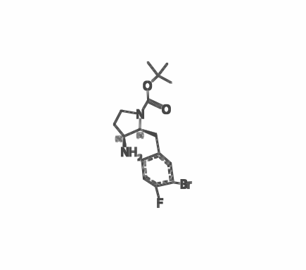 CC(C)(C)OC(=O)N1CC[C@H](N)[C@@H]1Cc1ccc(F)c(Br)c1